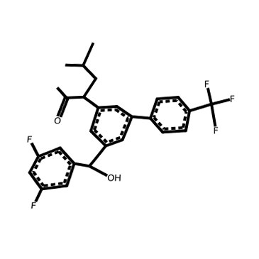 CC(=O)C(CC(C)C)c1cc(-c2ccc(C(F)(F)F)cc2)cc(C(O)c2cc(F)cc(F)c2)c1